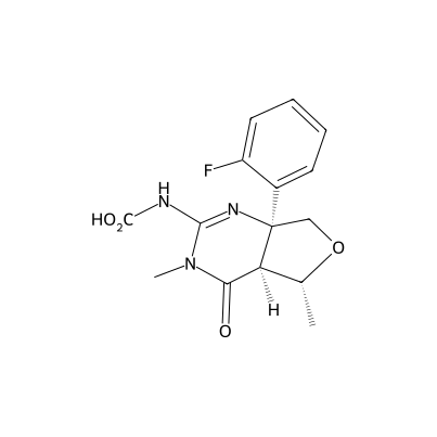 C[C@H]1OC[C@]2(c3ccccc3F)N=C(NC(=O)O)N(C)C(=O)[C@H]12